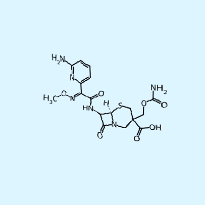 CON=C(C(=O)NC1C(=O)N2CC(COC(N)=O)(C(=O)O)CS[C@H]12)c1cccc(N)n1